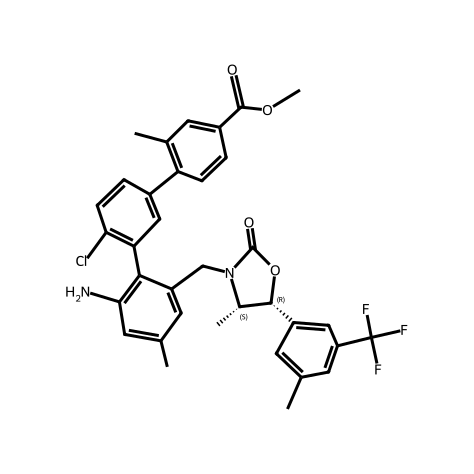 COC(=O)c1ccc(-c2ccc(Cl)c(-c3c(N)cc(C)cc3CN3C(=O)O[C@H](c4cc(C)cc(C(F)(F)F)c4)[C@@H]3C)c2)c(C)c1